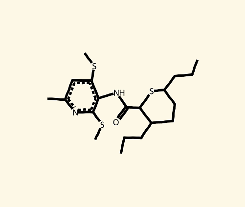 CCCC1CCC(CCC)C(C(=O)Nc2c(SC)cc(C)nc2SC)S1